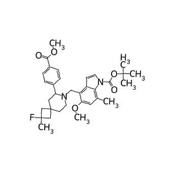 COC(=O)c1ccc(C2CC3(CCN2Cc2c(OC)cc(C)c4c2ccn4C(=O)OC(C)(C)C)CC(C)(F)C3)cc1